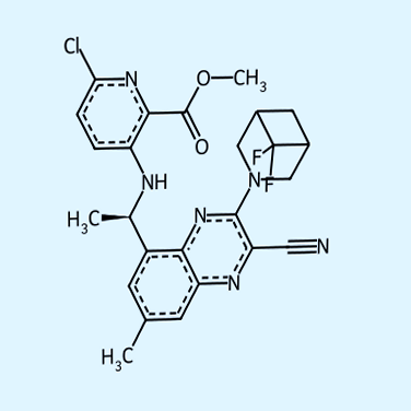 COC(=O)c1nc(Cl)ccc1N[C@H](C)c1cc(C)cc2nc(C#N)c(N3CC4CC(C3)C4(F)F)nc12